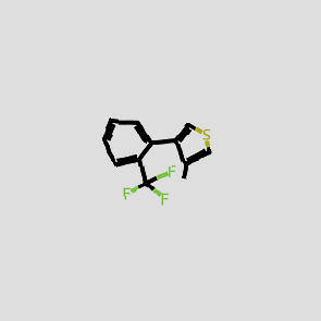 Cc1cscc1-c1ccccc1C(F)(F)F